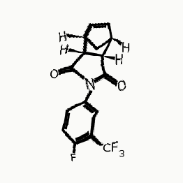 O=C1[C@@H]2[C@H](C(=O)N1c1ccc(F)c(C(F)(F)F)c1)[C@@H]1C=C[C@H]2C1